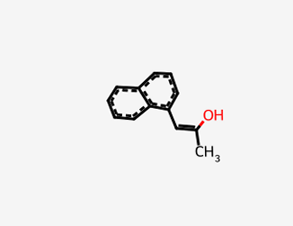 CC(O)=Cc1cccc2ccccc12